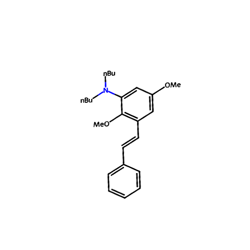 CCCCN(CCCC)c1cc(OC)cc(C=Cc2ccccc2)c1OC